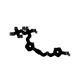 Cc1csc(COCC#Cc2ccc(CCC(C)(N)COP(=O)(O)O)s2)c1